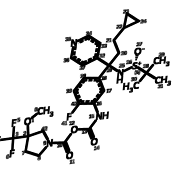 COC1(C(F)(F)F)CCN(C(=O)OC(=O)Nc2cc(C(CCC3CC3)(N[S@+]([O-])C(C)(C)C)c3ccncc3)ccc2F)C1